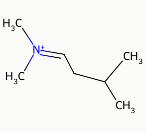 CC(C)CC=[N+](C)C